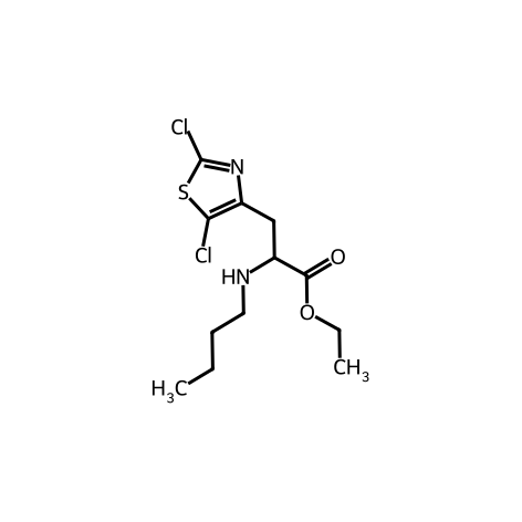 CCCCNC(Cc1nc(Cl)sc1Cl)C(=O)OCC